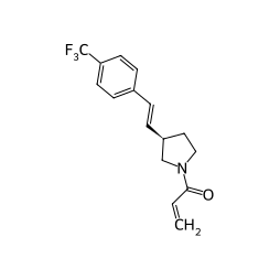 C=CC(=O)N1CC[C@H](C=Cc2ccc(C(F)(F)F)cc2)C1